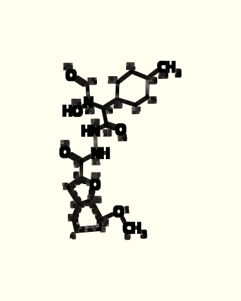 COc1cccc2cc(C(=O)NNC(=O)C(C3CCC(C)CC3)N(O)C=O)oc12